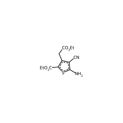 CCOC(=O)Cc1c(C(=O)OCC)sc(N)c1C#N